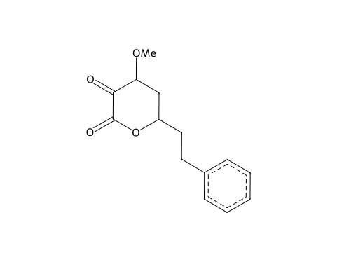 COC1CC(CCc2ccccc2)OC(=O)C1=O